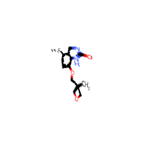 Cc1ccc(OCC2(C)COC2)c2[nH]c(=O)ncc12